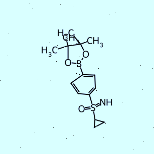 CC1(C)OB(c2ccc(S(=N)(=O)C3CC3)cc2)OC1(C)C